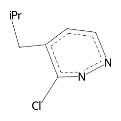 CC(C)Cc1ccnnc1Cl